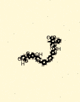 CC(=O)c1c(C)c2cnc(Nc3ccc(C4CCN(Cc5ccc(CN6CCC(O)(c7ccc8c(c7)CN(C7CCC(=O)NC7=O)C8=O)CC6)cc5)CC4)cn3)nc2n(C2CCCC2)c1=O